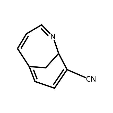 N#CC1=CC=C2C=CC=NC1C2